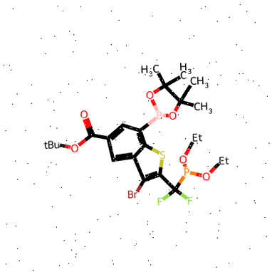 CCOP(OCC)C(F)(F)c1sc2c(B3OC(C)(C)C(C)(C)O3)cc(C(=O)OC(C)(C)C)cc2c1Br